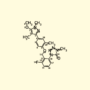 COc1c(C)c(-c2ccc(OCc3c(F)cccc3-n3nnn(C)c3=O)c(C)c2)nn1C